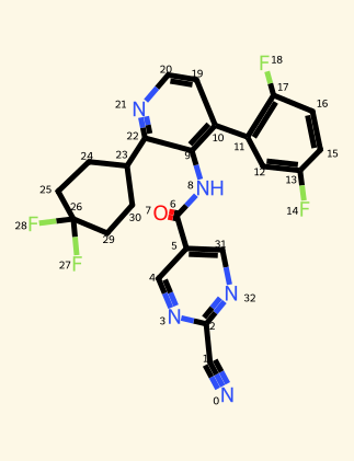 N#Cc1ncc(C(=O)Nc2c(-c3cc(F)ccc3F)ccnc2C2CCC(F)(F)CC2)cn1